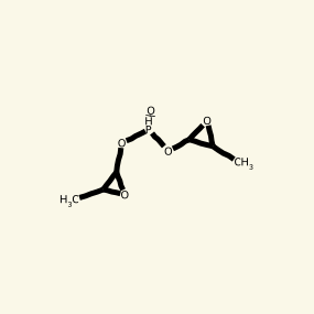 CC1OC1O[PH](=O)OC1OC1C